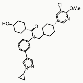 COc1ncc([C@H]2CC[C@H](CN(c3cccc(-c4cnn(C5CC5)c4)c3)C(=O)[C@H]3CC[C@H](O)CC3)CC2)cc1Cl